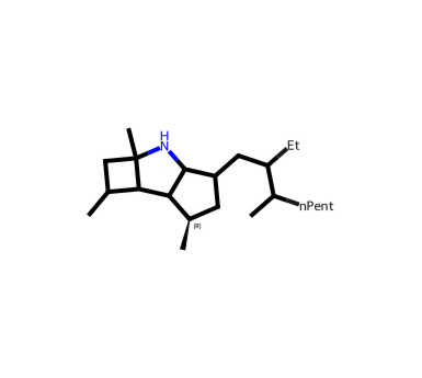 CCCCCC(C)C(CC)CC1C[C@@H](C)C2C1NC1(C)CC(C)C21